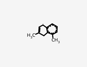 CC1=C[CH]c2cccc(C)c2C1